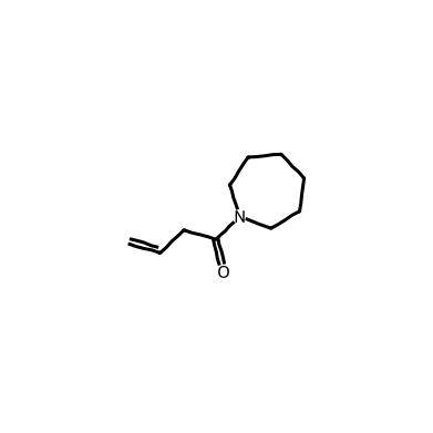 C=CCC(=O)N1CCCCCC1